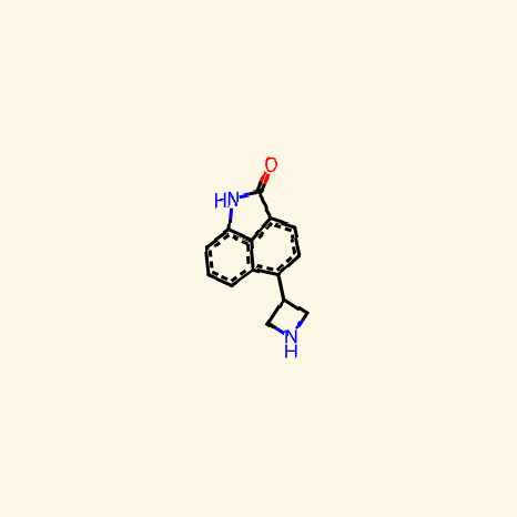 O=C1Nc2cccc3c(C4CNC4)ccc1c23